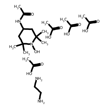 CC(=O)NC1CC(C)(C)N(O)C(C)(C)C1.CC(=O)O.CC(=O)O.CC(=O)O.CC(=O)O.NCCN